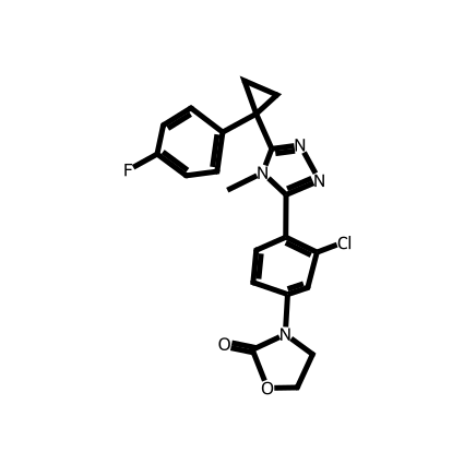 Cn1c(-c2ccc(N3CCOC3=O)cc2Cl)nnc1C1(c2ccc(F)cc2)CC1